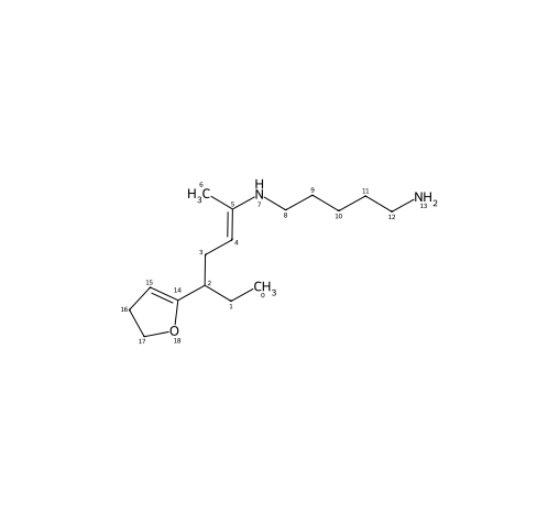 CCC(C/C=C(\C)NCCCCCN)C1=CCCO1